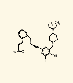 CCN(CC)C1CCN(Cc2cc(C#CCCc3ccccc3C=CC(=O)O)cc(I)c2O)CC1